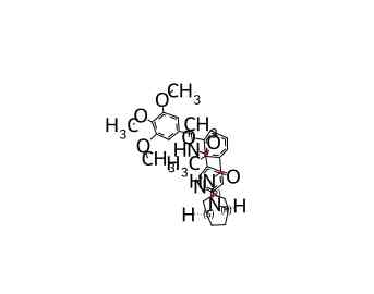 COc1cccc(C(=O)N[C@H]2C[C@H]3CC[C@@H](C2)N3c2ccc(C(=O)NCc3cc(OC)c(OC)c(OC)c3)cn2)c1C